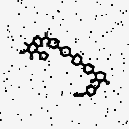 COc1ccc(CN2C(=O)CCC(c3ccc(N4CCC(C5CCN(c6ccc(Nc7ncc8c(C)c(C(C)=O)c(=O)n(C9CCCC9)c8n7)nc6)CC5)CC4)cc3)C2=O)cc1